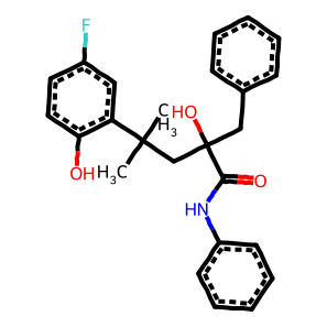 CC(C)(CC(O)(Cc1ccccc1)C(=O)Nc1ccccc1)c1cc(F)ccc1O